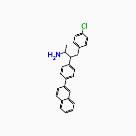 CC(N)C(Cc1ccc(Cl)cc1)c1ccc(-c2ccc3ccccc3c2)cc1